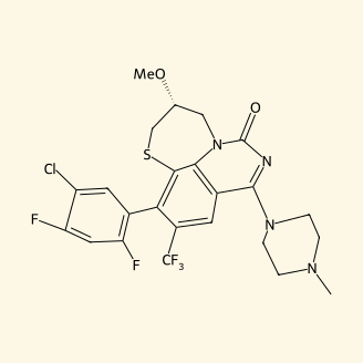 CO[C@H]1CSc2c(-c3cc(Cl)c(F)cc3F)c(C(F)(F)F)cc3c(N4CCN(C)CC4)nc(=O)n(c23)C1